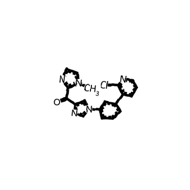 Cn1ccnc1C(=O)c1cn(-c2cccc(-c3cccnc3Cl)c2)cn1